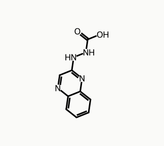 O=C(O)NNc1cnc2ccccc2n1